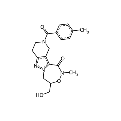 Cc1ccc(C(=O)N2CCc3nn4c(c3C2)C(=O)N(C)OC(CO)C4)cc1